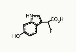 O=C(O)C(F)c1c[nH]c2cc(O)ccc12